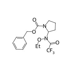 CCON(C(=O)C(F)(F)F)C1CCCN1C(=O)OCc1ccccc1